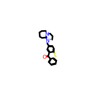 O=c1c2ccccc2sc2ccc(C[N+]3=C4CCCCCN4CCC3)cc12